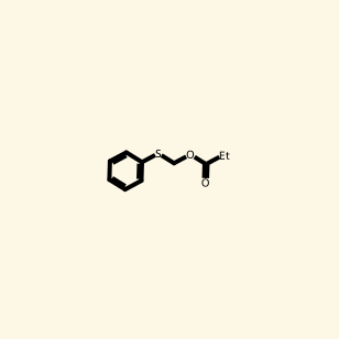 CCC(=O)OCSc1ccccc1